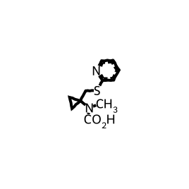 CN(C(=O)O)C1(CSc2ccccn2)CC1